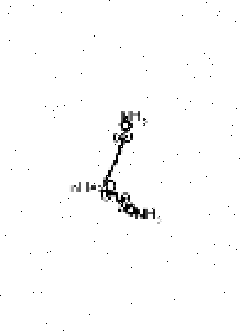 CCCCCC[C@H](CCCCCCCCCCC(=O)Oc1ccc(N)cc1)OC(=O)CCC(=O)Oc1ccc(N)cc1